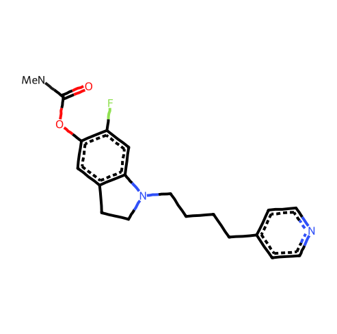 CNC(=O)Oc1cc2c(cc1F)N(CCCCc1ccncc1)CC2